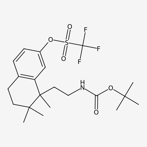 CC(C)(C)OC(=O)NCCC1(C)c2cc(OS(=O)(=O)C(F)(F)F)ccc2CCC1(C)C